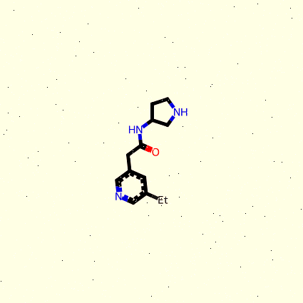 CCc1cncc(CC(=O)NC2CCNC2)c1